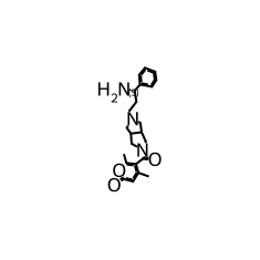 Cc1cc(=O)oc(C)c1C(=O)N1CC2CN(CC[C@H](N)c3ccccc3)CC2C1